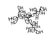 O=C(O)CC(O)(CC(=O)OC[C@H](O)[C@@H](O)[C@H](O)CO)C(=O)OC[C@H](O)[C@@H](O)[C@H](O)[C@H](O)CO.OCC(O)COC[C@H](O)[C@H](O)CO